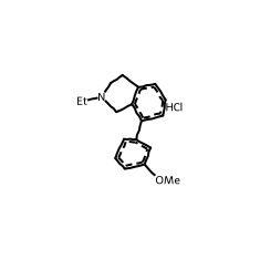 CCN1CCc2cccc(-c3cccc(OC)c3)c2C1.Cl